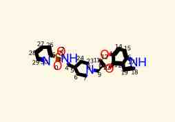 O=S(=O)(NCC1CCN(C[C@H]2COc3ccc4[nH]ccc4c3O2)CC1)c1ccccn1